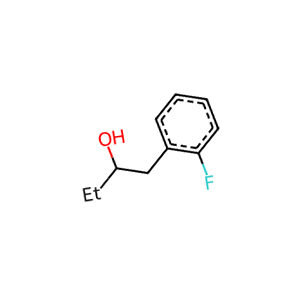 CCC(O)Cc1ccccc1F